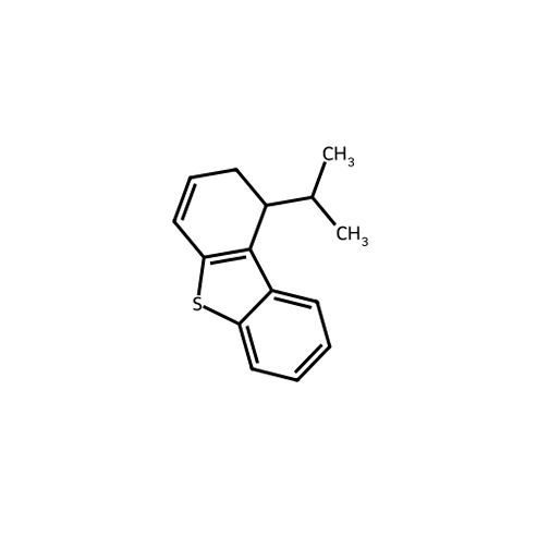 CC(C)C1CC=Cc2sc3ccccc3c21